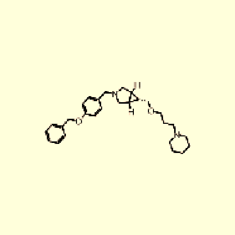 c1ccc(COc2ccc(CN3C[C@@H]4[C@H](COCCCN5CCCCC5)[C@@H]4C3)cc2)cc1